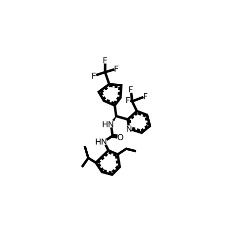 CCc1cccc(C(C)C)c1NC(=O)N[C@@H](c1ccc(C(F)(F)F)cc1)c1ncccc1C(F)(F)F